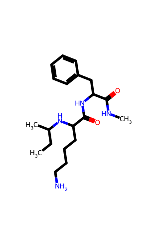 CCC(C)NC(CCCCN)C(=O)NC(Cc1ccccc1)C(=O)NC